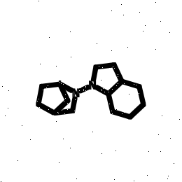 C1CCC2C(C1)CCN2N1CC2CC[C]1C2